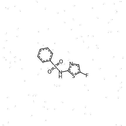 O=S(=O)(Nc1ncc(F)s1)c1ccccc1